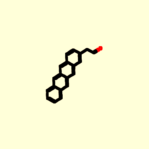 O=CCc1ccc2cc3cc4ccccc4cc3cc2c1